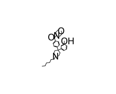 CCCCCCN1CCC(c2ccc(C(=O)N3CCOCC3)cc2)(c2cccc(O)c2)CC1